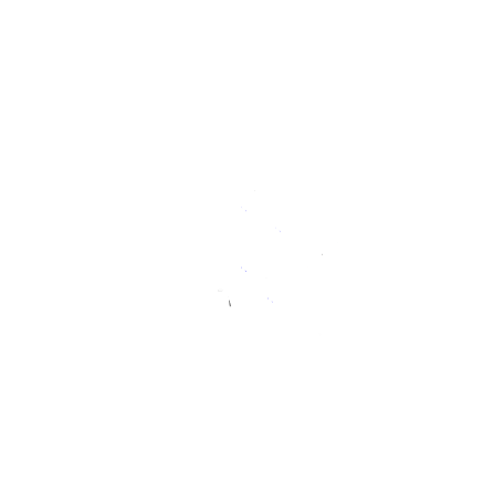 C[C@@H](c1ccccc1)N(C(=O)Nc1ccccc1OC(F)(F)F)C1CCn2c1nc1c(F)cccc1c2=O